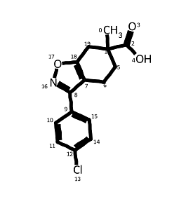 CC1(C(=O)O)CCc2c(-c3ccc(Cl)cc3)noc2C1